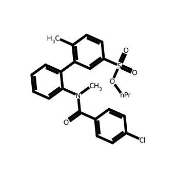 CCCOS(=O)(=O)c1ccc(C)c(-c2ccccc2N(C)C(=O)c2ccc(Cl)cc2)c1